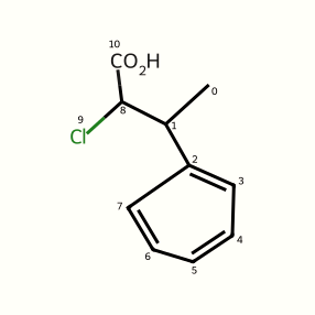 CC(c1ccccc1)C(Cl)C(=O)O